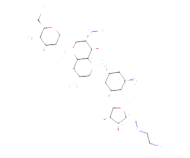 CN[C@@H]1[C@@H](O[C@H]2O[C@H](CO)[C@@H](N)[C@H](O)[C@H]2O)OC2C[C@@H](N)[C@@H](O[C@H]3[C@H](O[C@@H]4O[C@H](CNCCN)[C@@H](O)[C@H]4O)[C@@H](O)[C@H](N)C[C@@H]3N)OC2[C@@H]1O